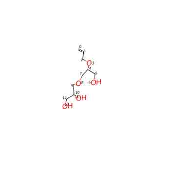 C=CCOC(CO)COCC(O)CO